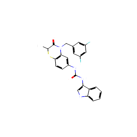 CC1Sc2ccc(NC(=O)Nc3c[nH]c4ccccc34)cc2N(Cc2cc(F)cc(F)c2)C1=O